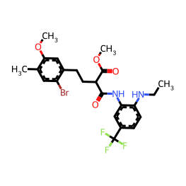 CCNc1ccc(C(F)(F)F)cc1NC(=O)C(CCc1cc(OC)c(C)cc1Br)C(=O)OC